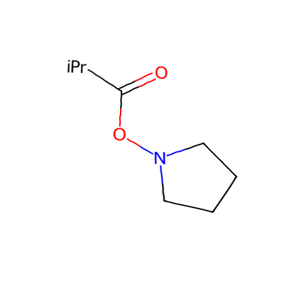 CC(C)C(=O)ON1CCCC1